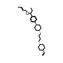 C=C[C@H]1CC[C@H](CCCC[C@H]2CC[C@H](c3ccc(C(CC)OCC=CC)cc3)CC2)CC1